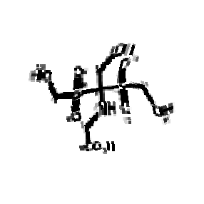 O=C(O)CNC(CO)(S(=O)(=O)CO)S(=O)(=O)CO